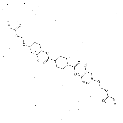 C=CC(=O)OCOc1ccc(OC(=O)C2CCC(C(=O)OC3CCC(OCOC(=O)C=C)CC3Cl)CC2)c(Cl)c1